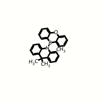 Cc1cccc2c1N(B1c3ccccc3Oc3ccccc31)c1ccccc1C2(C)C